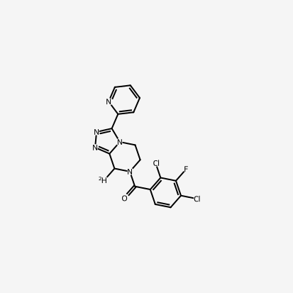 [2H]C1c2nnc(-c3ccccn3)n2CCN1C(=O)c1ccc(Cl)c(F)c1Cl